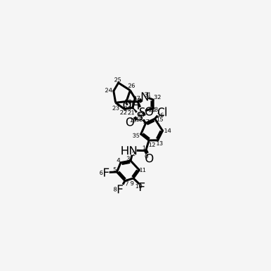 O=C(Nc1cc(F)c(F)c(F)c1)c1ccc(Cl)c(S(=O)(=O)[C@H]2CC3CCC(C2)[C@]3(O)c2nccs2)c1